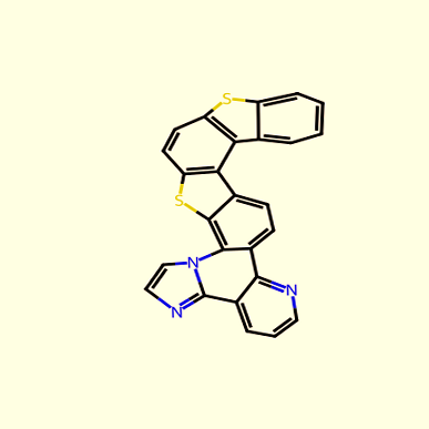 c1ccc2c(c1)sc1ccc3sc4c(ccc5c6ncccc6c6nccn6c54)c3c12